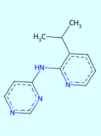 CC(C)c1cccnc1Nc1ccncn1